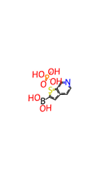 O=P(O)(O)O.OB(O)c1cc2ccncc2s1